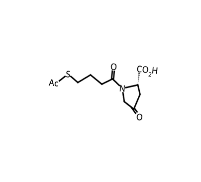 CC(=O)SCCCC(=O)N1CC(=O)C[C@H]1C(=O)O